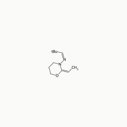 C/C=C1/OCCCN1/N=C\C(C)(C)C